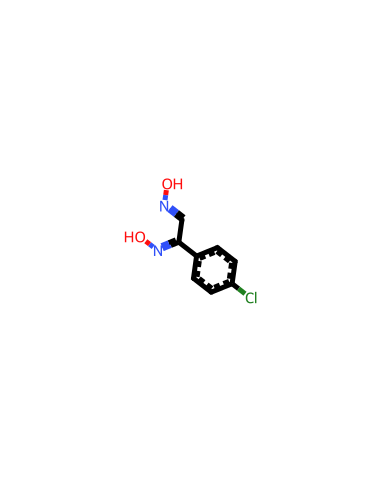 ON=CC(=NO)c1ccc(Cl)cc1